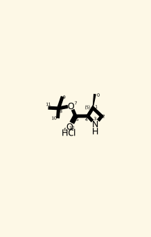 C[C@H]1CNC1C(=O)OC(C)(C)C.Cl